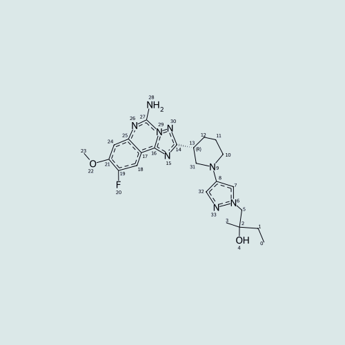 CCC(C)(O)Cn1cc(N2CCC[C@@H](c3nc4c5cc(F)c(OC)cc5nc(N)n4n3)C2)cn1